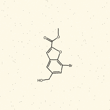 COC(=O)c1cc2cc(CO)cc(Br)c2o1